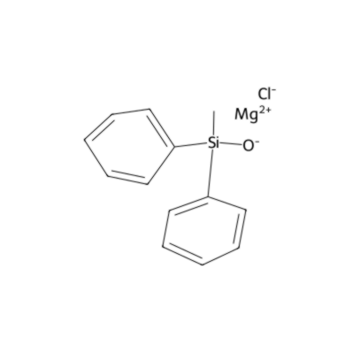 C[Si]([O-])(c1ccccc1)c1ccccc1.[Cl-].[Mg+2]